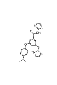 CC(C)c1ccc(Oc2cc(Sc3nccn3C)cc(C(=O)Nc3nccs3)c2)cc1